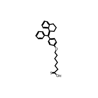 OC(=S)CCCCCCOc1ccc(/C(=C2\CCCc3ccccc32)c2ccccc2)cc1